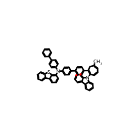 CC1=CC=CC(n2c3ccccc3c3ccccc32)=C(c2ccc(-c3ccc(N(c4ccc(-c5ccccc5)cc4)c4cccc5c4sc4ccccc45)cc3)cc2)C1